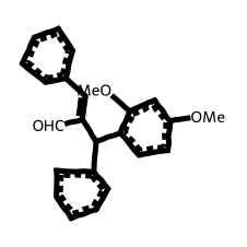 COc1ccc(C(C(C=O)=Cc2ccccc2)c2ccccc2)c(OC)c1